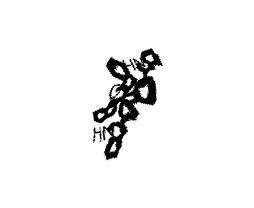 C1=CC2=CC(c3ccc4c(c3)C3(c5cc(C6=Cc7ccccc7NC6)ccc5-4)c4ccc5ccccc5c4Oc4c3ccc3ccccc43)=CNC2C=C1